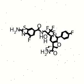 NC(=O)[C@]1(CF)COc2c1cc(C(O)(CNC(=O)c1cc(F)c3nc(N)sc3c1)C(F)(F)F)nc2-c1ccc(F)cc1